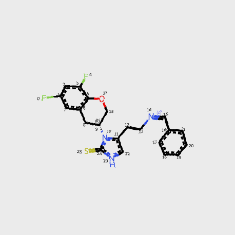 Fc1cc(F)c2c(c1)C[C@@H](n1c(CC/N=C\c3ccccc3)c[nH]c1=S)CO2